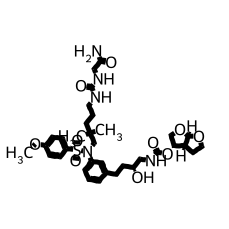 COc1ccc(S(=O)(=O)N(CC(C)(C)CCCNC(=O)NCC(N)=O)c2cccc(CC[C@H](O)CNC(=O)O[C@@H]3CO[C@@H]4OCC[C@@H]43)c2)cc1